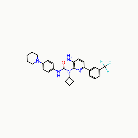 Nc1ccc(-c2cccc(C(F)(F)F)c2)nc1N(C(=O)Nc1ccc(N2CCCCC2)cc1)C1CCC1